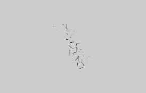 NC1CCCN(C(=O)c2cc3c4c(c2)nc(-c2cc5ccccc5n2CC(F)F)n4CCO3)C1